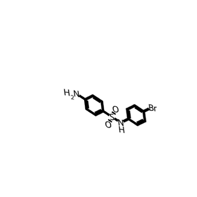 Nc1ccc(S(=O)(=O)Nc2ccc(Br)cc2)cc1